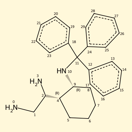 NCC(N)[C@H]1CCCC[C@H]1NC(c1ccccc1)(c1ccccc1)c1ccccc1